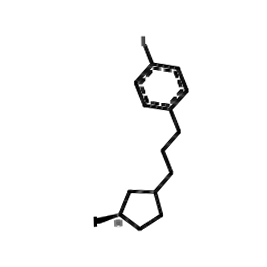 Ic1ccc(CCCC2CC[C@@H](I)C2)cc1